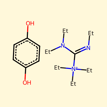 CC/N=C(\N(CC)CC)[N+](CC)(CC)CC.Oc1ccc(O)cc1